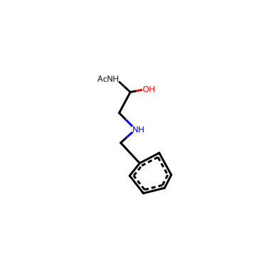 CC(=O)NC(O)CNCc1ccccc1